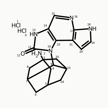 Cl.Cl.NC12CC3CC(C1)C(n1c(=O)[nH]c4cnc5[nH]ccc5c41)C(C3)C2